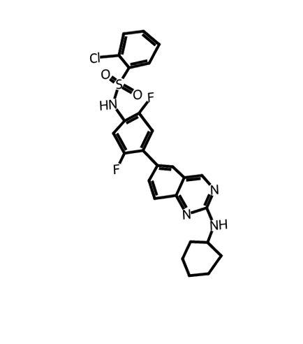 O=S(=O)(Nc1cc(F)c(-c2ccc3nc(NC4CCCCC4)ncc3c2)cc1F)c1ccccc1Cl